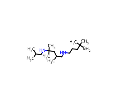 BC(C)(C)CCCNCC(C)CC(C)(C)NCC(C)C